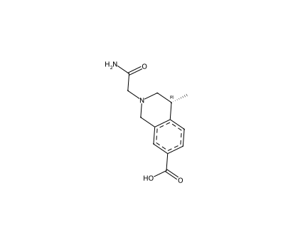 C[C@H]1CN(CC(N)=O)Cc2cc(C(=O)O)ccc21